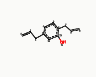 C=CCc1ccc(CC=C)c(O)c1